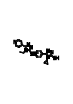 CCn1c(S[n+]2ccc(-c3nnc(S)n3C3CC3)cc2)nnc1-c1ccncc1